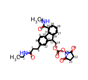 CCNC(=O)CCc1ccc2c(c1)C(COC(=O)ON1C(=O)CCC1=O)c1cccc(C(=O)NC)c1-2